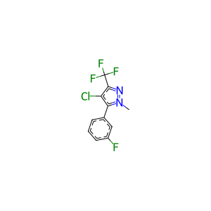 Cn1nc(C(F)(F)F)c(Cl)c1-c1cccc(F)c1